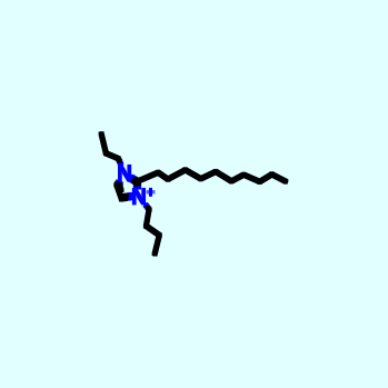 CCCCCCCCCCc1n(CCC)cc[n+]1CCCC